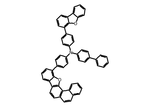 c1ccc(-c2ccc(N(c3ccc(-c4cccc5c4oc4ccccc45)cc3)c3ccc(-c4cccc5c4oc4c5ccc5ccc6ccccc6c54)cc3)cc2)cc1